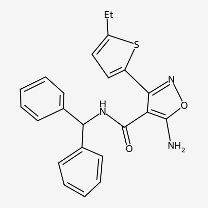 CCc1ccc(-c2noc(N)c2C(=O)NC(c2ccccc2)c2ccccc2)s1